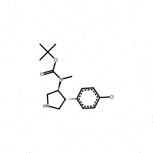 CN(C(=O)OC(C)(C)C)[C@@H]1CNC[C@H]1c1ccc(Cl)cc1